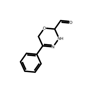 O=CC1NN=C(c2ccccc2)CO1